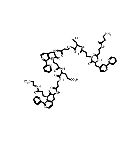 NCCC(=O)NCCC(=O)NC(Cc1ccnc(-c2ccccn2)c1)C(=O)NCCC(=O)NC(CCC(=O)O)C(=O)NCCC(=O)NC(Cc1ccnc(-c2ccccn2)c1)C(=O)NCCC(=O)NC(CCC(=O)O)C(=O)NCCC(=O)NC(Cc1ccnc(-c2ccccn2)c1)C(=O)NCCC(=O)NCCC(=O)O